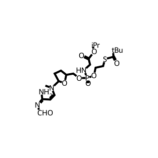 CC(C)OC(=O)CNP(=O)(OCCSC(=O)C(C)(C)C)OCC1CCC(N(C)/C=C\C(N)=N/C=O)O1